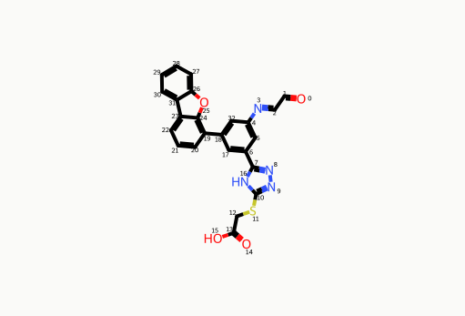 O=C/C=N/c1cc(-c2nnc(SCC(=O)O)[nH]2)cc(-c2cccc3c2oc2ccccc23)c1